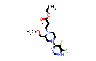 CCOC(=O)CCN1CCN(C2=NCNC(Cl)=C2F)C[C@H]1COC